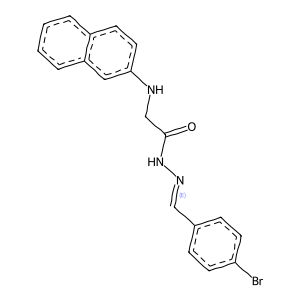 O=C(CNc1ccc2ccccc2c1)N/N=C/c1ccc(Br)cc1